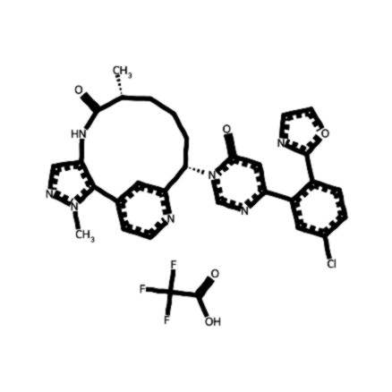 C[C@@H]1CCC[C@H](n2cnc(-c3cc(Cl)ccc3-c3ncco3)cc2=O)c2cc(ccn2)-c2c(cnn2C)NC1=O.O=C(O)C(F)(F)F